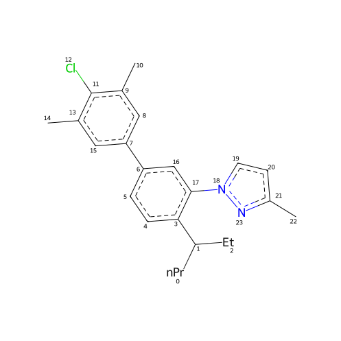 CCCC(CC)c1ccc(-c2cc(C)c(Cl)c(C)c2)cc1-n1ccc(C)n1